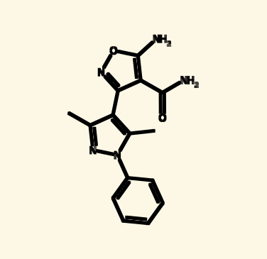 Cc1nn(-c2ccccc2)c(C)c1-c1noc(N)c1C(N)=O